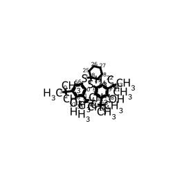 CC(C)(C)c1cc(SC2(Sc3cc(C(C)(C)C)c(O)c(C(C)(C)C)c3)CCCCC2)cc(C(C)(C)C)c1O